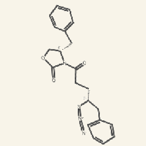 [N-]=[N+]=N[C@H](CCC(=O)N1C(=O)OC[C@@H]1Cc1ccccc1)Cc1ccccc1